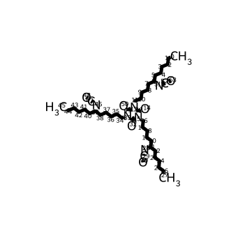 CCCCCCC(CCCCCn1c(=O)n(CCCCCC(CCCCCC)N=C=O)c(=O)n(CCCCCC(CCCCCC)N=C=O)c1=O)N=C=O